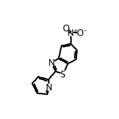 O=[N+]([O-])c1ccc2sc(-c3ccccn3)nc2c1